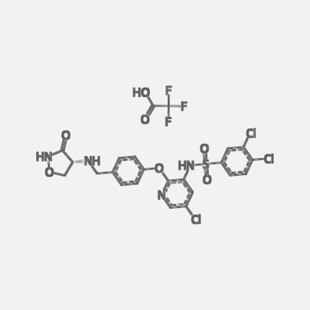 O=C(O)C(F)(F)F.O=C1NOC[C@H]1NCc1ccc(Oc2ncc(Cl)cc2NS(=O)(=O)c2ccc(Cl)c(Cl)c2)cc1